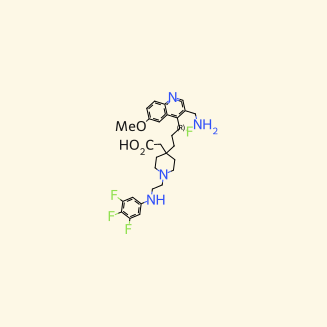 COc1ccc2ncc(CN)c([C@H](F)CCC3(CC(=O)O)CCN(CCNc4cc(F)c(F)c(F)c4)CC3)c2c1